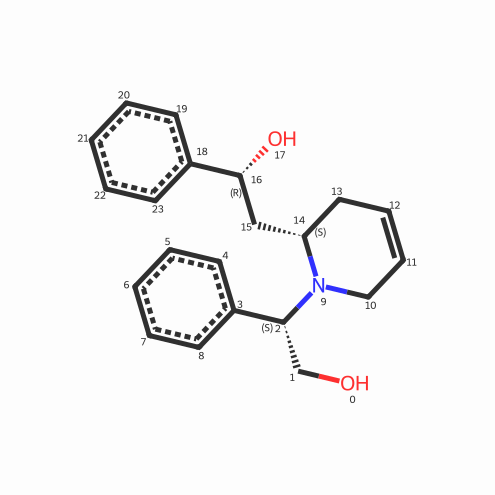 OC[C@H](c1ccccc1)N1CC=CC[C@H]1C[C@@H](O)c1ccccc1